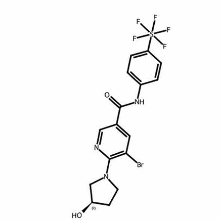 O=C(Nc1ccc(S(F)(F)(F)(F)F)cc1)c1cnc(N2CC[C@@H](O)C2)c(Br)c1